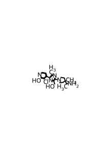 Cc1nc(N2CCC(C)([C@@H](C)N)CC2)c(CO)nc1-c1ccnc(O)c1Cl